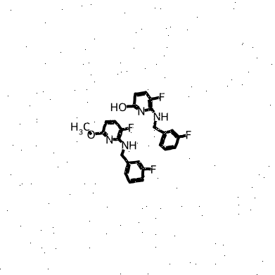 COc1ccc(F)c(NCc2cccc(F)c2)n1.Oc1ccc(F)c(NCc2cccc(F)c2)n1